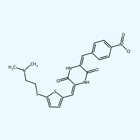 CN(C)CCSc1ccc(C=c2[nH]c(=O)c(=Cc3ccc([N+](=O)[O-])cc3)[nH]c2=O)s1